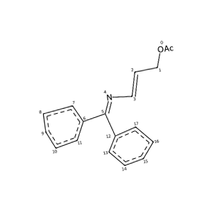 CC(=O)OCC=CN=C(c1ccccc1)c1ccccc1